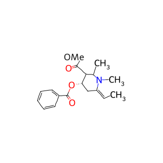 C/C=C1/C[C@H](OC(=O)c2ccccc2)C(C(=O)OC)C(C)N1C